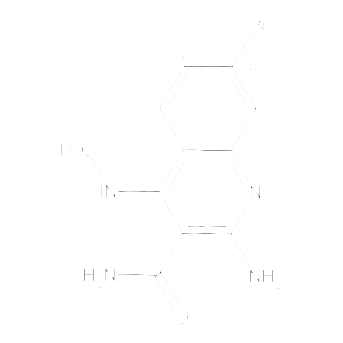 CNc1c(C(N)=O)c(N)nc2cc(Br)ccc12